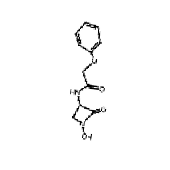 O=C(COc1ccccc1)NC1CN(O)C1=O